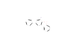 Ic1c2oc3ccccc3c2cc2c1oc1ccccc12